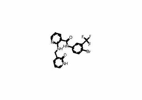 O=C(Nc1ccc(Br)c(C(F)(F)F)c1)c1cccnc1NCc1ccc[nH]c1=O